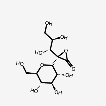 O=C1O[C@]1(C1O[C@H](CO)[C@@H](O)[C@H](O)[C@H]1O)[C@H](O)[C@H](O)CO